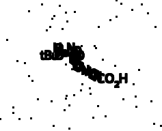 CC(C)(C)OC(=O)CCC(C(N)=O)N1Cc2ccc(N3CC4(CCN(C(=O)O)CC4)C3)cc2C1=O